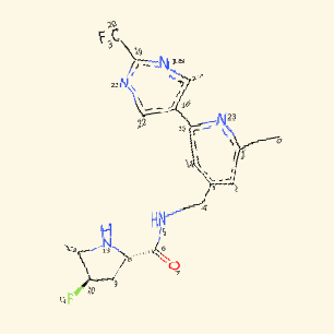 Cc1cc(CNC(=O)[C@@H]2C[C@@H](F)CN2)cc(-c2cnc(C(F)(F)F)nc2)n1